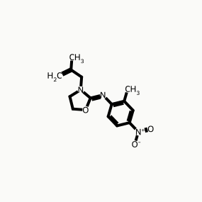 C=C(C)CN1CCOC1=Nc1ccc([N+](=O)[O-])cc1C